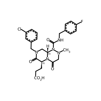 CN1CC(=O)N2[C@@H](CCC(=O)O)C(=O)N(Cc3cccc(Cl)c3)C[C@@H]2N1C(=O)NCc1ccc(F)cc1